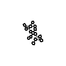 c1ccc(-c2ccc(N(c3ccc4c(-c5ccc6ccccc6c5)c5cc(N(c6ccc(-c7ccccc7)cc6)c6cccc7c6oc6ccccc67)ccc5c(-c5ccc6ccccc6c5)c4c3)c3cccc4c3oc3ccccc34)cc2)cc1